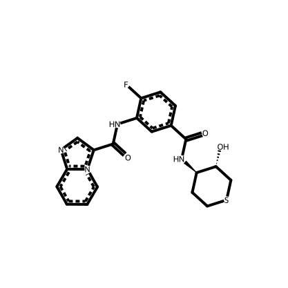 O=C(N[C@@H]1CCSC[C@H]1O)c1ccc(F)c(NC(=O)c2cnc3ccccn23)c1